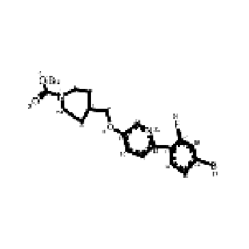 CC(C)COC(=O)N1CCC(COc2ccc(-c3ccc(Br)cc3F)nc2)CC1